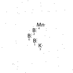 [B].[B].[B].[K].[Mn]